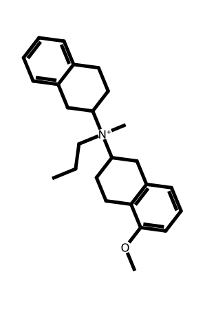 CCC[N+](C)(C1CCc2ccccc2C1)C1CCc2c(cccc2OC)C1